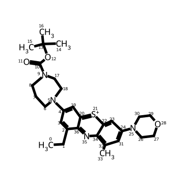 CCc1cc(N2CCCN(C(=O)OC(C)(C)C)CC2)cc2[s+]c3cc(N4CCOCC4)cc(C)c3nc12